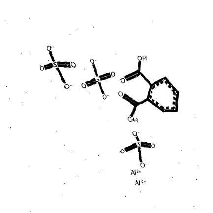 O=C(O)c1ccccc1C(=O)O.O=S(=O)([O-])[O-].O=S(=O)([O-])[O-].O=S(=O)([O-])[O-].[Al+3].[Al+3]